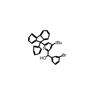 CC(C)(C)c1cc(C(O)c2cccc(Br)c2)nc(C2(c3ccccc3)c3ccccc3-c3ccccc32)c1